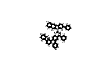 c1ccc(-c2ccc3c4cc5ccccc5cc4n(-c4nc(-c5ccccc5)c5cc(-c6ccccc6)c(-c6cccc7c6sc6ccccc67)cc5n4)c3c2)cc1